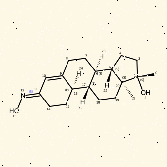 C[C@]1(O)CC[C@H]2[C@@H]3CCC4=C/C(=N/O)CC[C@@H]4[C@H]3CC[C@@]21C